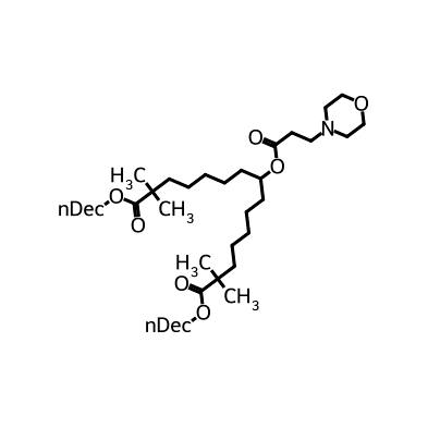 CCCCCCCCCCOC(=O)C(C)(C)CCCCCC(CCCCCC(C)(C)C(=O)OCCCCCCCCCC)OC(=O)CCN1CCOCC1